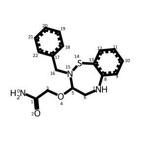 NC(=O)COC1CNc2ccccc2SN1Cc1ccccc1